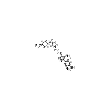 Cn1c(SCCCN2CCC3(CC3c3ccc(C(F)(F)F)cc3)C2)nnc1-c1ccc2[nH]cnc2n1